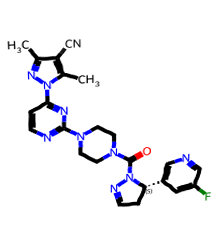 Cc1nn(-c2ccnc(N3CCN(C(=O)N4N=CC[C@H]4c4cncc(F)c4)CC3)n2)c(C)c1C#N